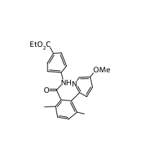 CCOC(=O)c1ccc(NC(=O)c2c(C)ccc(C)c2-c2ccc(OC)cn2)cc1